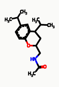 CC(=O)NCC1CC(C(C)C)c2cc(C(C)C)ccc2O1